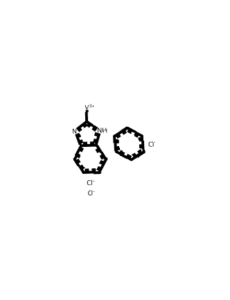 [Cl-].[Cl-].[Cl-].[V+3][c]1nc2ccccc2[nH]1.c1ccccc1